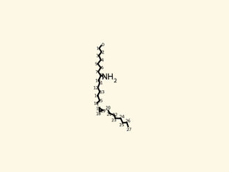 CCCCCCCCC(N)CCCCCCC[C@H]1C[C@H]1CCCCCCCC